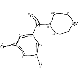 O=C(c1cc(Cl)cc(Cl)c1)N1CCNCC1